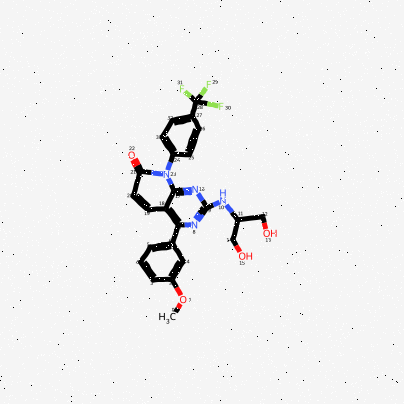 COc1cccc(-c2nc(NC(CO)CO)nc3c2ccc(=O)n3-c2ccc(C(F)(F)F)cc2)c1